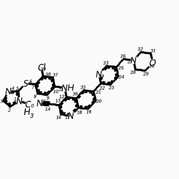 Cn1ccnc1Sc1ccc(Nc2c(C#N)cnc3ccc(-c4ccc(CN5CCOCC5)cn4)cc23)cc1Cl